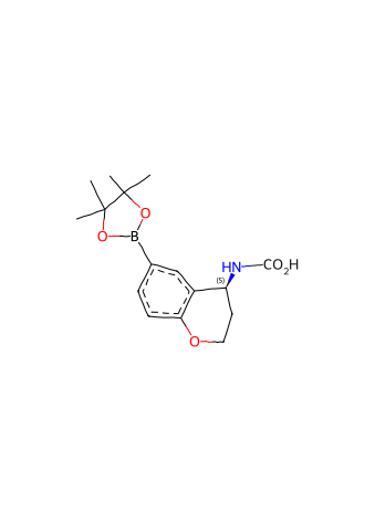 CC1(C)OB(c2ccc3c(c2)[C@@H](NC(=O)O)CCO3)OC1(C)C